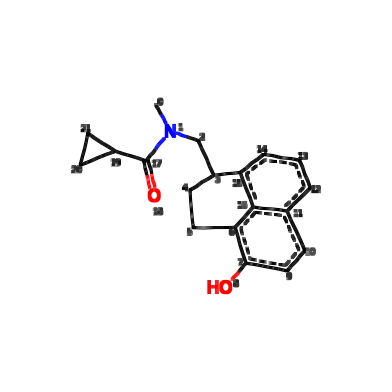 CN(CC1CCc2c(O)ccc3cccc1c23)C(=O)C1CC1